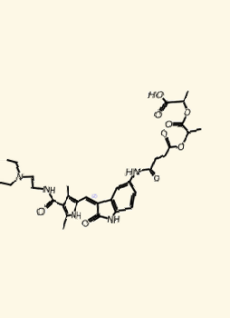 CCN(CC)CCNC(=O)c1c(C)[nH]c(/C=C2\C(=O)Nc3ccc(NC(=O)CCC(=O)OC(C)C(=O)OC(C)C(=O)O)cc32)c1C